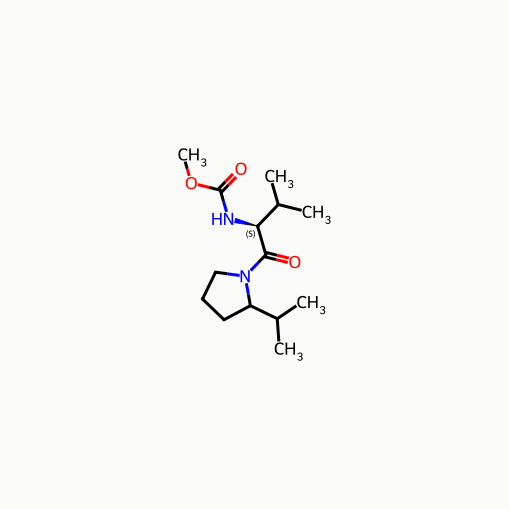 COC(=O)N[C@H](C(=O)N1CCCC1C(C)C)C(C)C